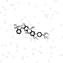 Cc1cc(Nc2ncc(Cl)c(Nc3ccccc3S(=O)(=O)C(C)C)n2)c(OC(C)C)cc1[C@H]1CC[C@H](N(C)C)CC1